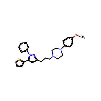 COc1ccc(N2CCN(CCCc3cc(-c4cccs4)n(-c4ccccc4)n3)CC2)cc1